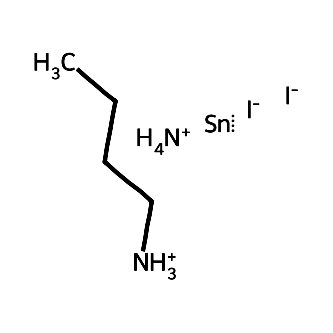 CCCC[NH3+].[I-].[I-].[NH4+].[Sn]